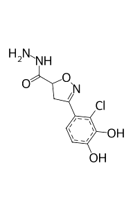 NNC(=O)C1CC(c2ccc(O)c(O)c2Cl)=NO1